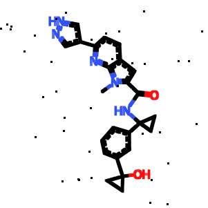 Cn1c(C(=O)NC2(c3cccc(C4(O)CC4)c3)CC2)cc2ccc(-c3cn[nH]c3)nc21